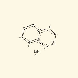 [LiH].c1ccc2ncccc2c1